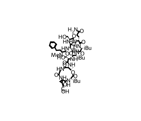 CC[C@H](C)[C@H](NC(=O)[C@@H](CCc1ccccc1)NC)C(=O)N[C@@H](CO)C(=O)N[C@H](CCC(N)=O)C(=O)N[C@@H](C(=O)N[C@H](C(=O)N[C@@H](CO)C(=O)N[C@H]1C(=O)N[C@@H](C)C(=O)NC2(CC2CCO)C(=O)N[C@@H]([C@@H](C)CC)C(=O)O[C@H]1C)[C@@H](C)CC)[C@@H](C)CC